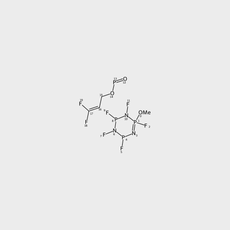 COP1(F)=NP(F)N(F)P(F)N1F.O=POCC=C(F)F